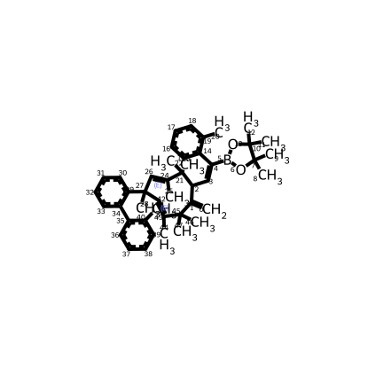 C=C1C(C=C(B2OC(C)(C)C(C)(C)O2)c2ccccc2C)C(C)(C)/C(C)=C/C(C)(c2ccccc2-c2ccccc2C)/C=C(\C)C1(C)C